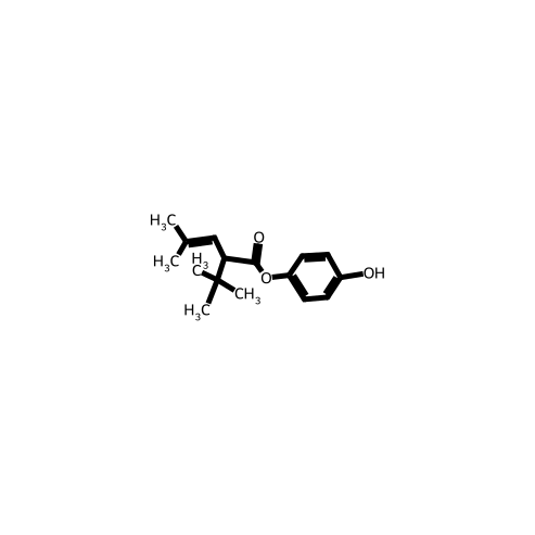 CC(C)=CC(C(=O)Oc1ccc(O)cc1)C(C)(C)C